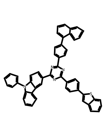 c1ccc(-n2c3ccccc3c3cc(-c4nc(-c5ccc(-c6cc7ccccc7s6)cc5)nc(-c5ccc(-c6cccc7ccccc67)cc5)n4)ccc32)cc1